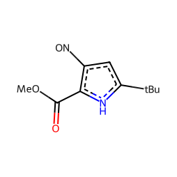 COC(=O)c1[nH]c(C(C)(C)C)cc1N=O